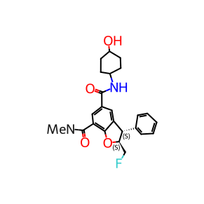 CNC(=O)c1cc(C(=O)NC2CCC(O)CC2)cc2c1O[C@H](CF)[C@H]2c1ccccc1